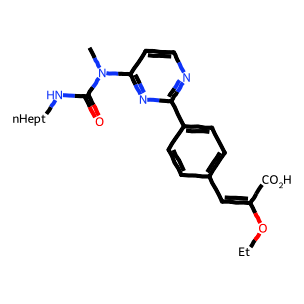 CCCCCCCNC(=O)N(C)c1ccnc(-c2ccc(/C=C(/OCC)C(=O)O)cc2)n1